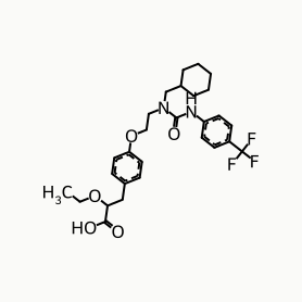 CCOC(Cc1ccc(OCCN(CC2CCCCC2)C(=O)Nc2ccc(C(F)(F)F)cc2)cc1)C(=O)O